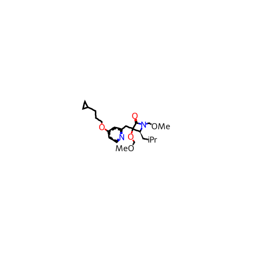 COCOC1(Cc2cc(OCCCC3CC3)ccn2)C(=O)N(COC)[C@H]1CC(C)C